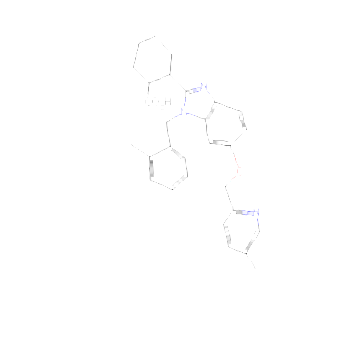 Cc1ccc(COc2ccc3nc(C4CCCCC4C(=O)O)n(Cc4ccccc4C)c3c2)nc1